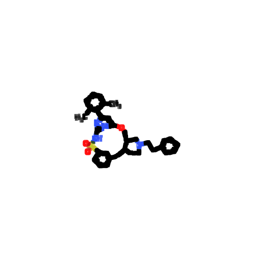 Cc1cccc(C)c1-c1cc2nc(n1)NS(=O)(=O)c1cccc(c1)CC1CCN(CCc3ccccc3)CC1CO2